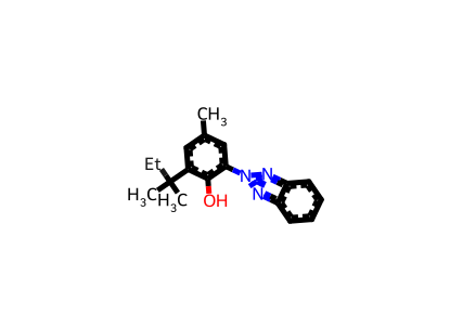 CCC(C)(C)c1cc(C)cc(-n2n3c4ccccc4n23)c1O